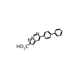 O=C(O)c1cc2cc(-c3ccc(-c4ccccc4)cc3)ncn2n1